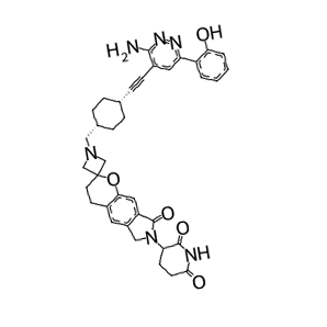 Nc1nnc(-c2ccccc2O)cc1C#C[C@H]1CC[C@@H](CN2CC3(CCc4cc5c(cc4O3)C(=O)N(C3CCC(=O)NC3=O)C5)C2)CC1